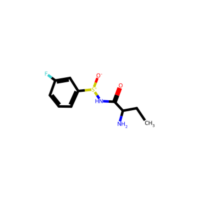 CCC(N)C(=O)N[S+]([O-])c1cccc(F)c1